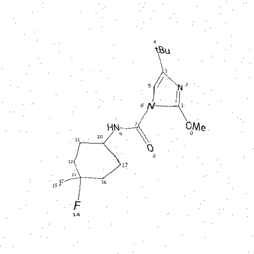 COc1nc(C(C)(C)C)cn1C(=O)NC1CCC(F)(F)CC1